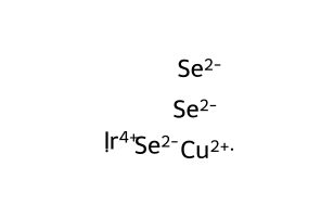 [Cu+2].[Ir+4].[Se-2].[Se-2].[Se-2]